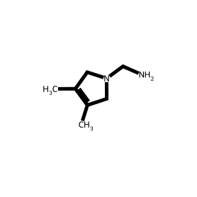 CC1=C(C)CN(CN)C1